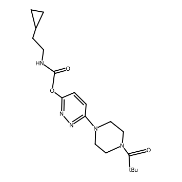 CC(C)(C)C(=O)N1CCN(c2ccc(OC(=O)NCCC3CC3)nn2)CC1